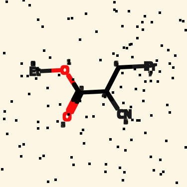 CCOC(=O)C(C#N)CC(C)C